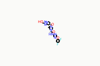 C[C@@H](C(=O)Nc1cnc(Oc2ccc(F)cc2F)cn1)N1CCN(C(=O)[C@@H]2CCn3nc(CO)nc3C2)C(C)(C)C1